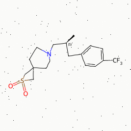 C[C@@H](Cc1ccc(C(F)(F)F)cc1)CN1CCC2(CC1)CS(=O)(=O)C2